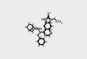 CCn1c(=S)[nH]c2cc3c(N(Cc4ccccc4)NC4CC5CCC4C5)ncnc3cc21